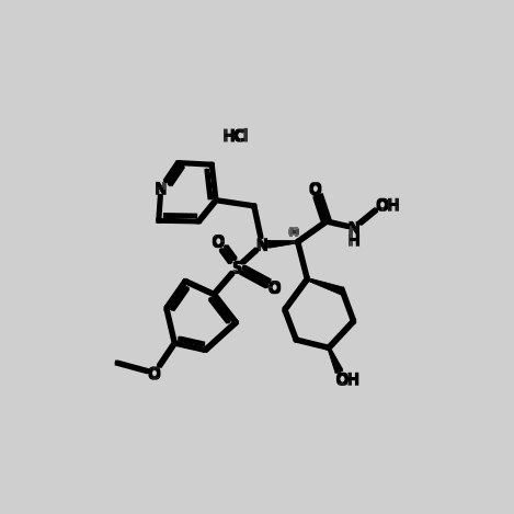 COc1ccc(S(=O)(=O)N(Cc2ccncc2)[C@@H](C(=O)NO)[C@H]2CC[C@@H](O)CC2)cc1.Cl